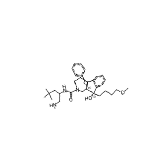 CNCC(CC(C)(C)C)NC(=O)N1CCC[C@@H]([C@@](O)(CCCCOC)c2ccccc2Oc2ccccc2)C1